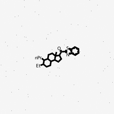 CCCC1C(CC)CCC2C1CCC1(C)C(C(=O)c3nc4ccccc4s3)CCC21